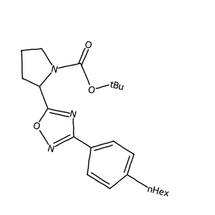 CCCCCCc1ccc(-c2noc(C3CCCN3C(=O)OC(C)(C)C)n2)cc1